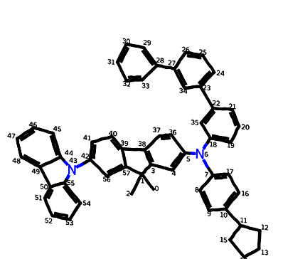 CC1(C)c2cc(N(c3ccc(C4CCCC4)cc3)c3cccc(-c4cccc(-c5ccccc5)c4)c3)ccc2-c2ccc(-n3c4ccccc4c4ccccc43)cc21